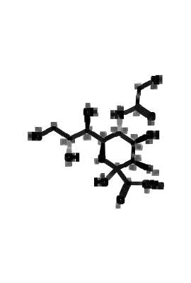 COC(=O)C1(O)O[C@@H]([C@H](O)[C@H](O)CO)[C@H](NC(=O)CS)[C@@H](O)[C@H]1F